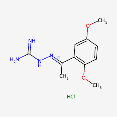 COc1ccc(OC)c(/C(C)=N/NC(=N)N)c1.Cl